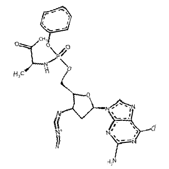 CC(=O)[C@H](C)NP(=O)(OC[C@H]1O[C@@H](n2cnc3c(Cl)nc(N)nc32)CC1N=[N+]=[N-])Oc1ccccc1